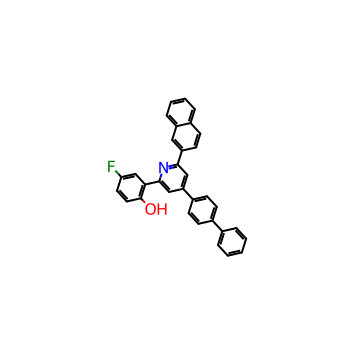 Oc1ccc(F)cc1-c1cc(-c2ccc(-c3ccccc3)cc2)cc(-c2ccc3ccccc3c2)n1